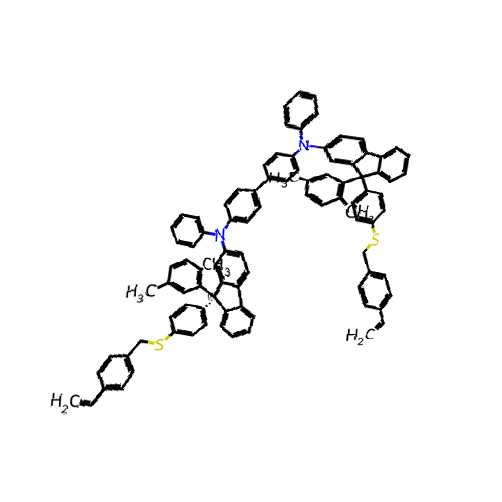 C=Cc1ccc(CSc2ccc(C3(c4cc(C)ccc4C)c4ccccc4-c4ccc(N(c5ccccc5)c5ccc(-c6ccc(N(c7ccccc7)c7ccc8c(c7)[C@](c7ccc(SCc9ccc(C=C)cc9)cc7)(c7cc(C)ccc7C)c7ccccc7-8)cc6)cc5)cc43)cc2)cc1